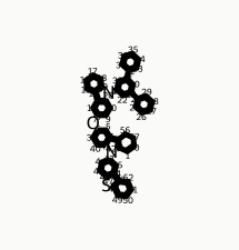 C1=Cc2c(c3cc(Oc4ccc5c(c4)c4ccccc4n5-c4cc(-c5ccccc5)cc(-c5ccccc5)c4)ccc3n2-c2ccc3sc4ccccc4c3c2)CC1